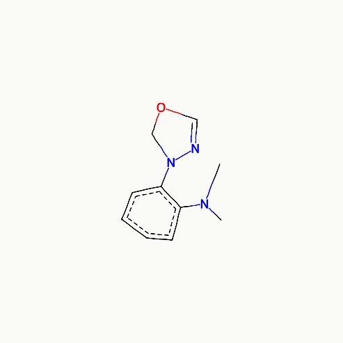 CN(C)c1ccccc1N1COC=N1